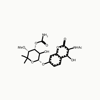 CO[C@@H]1[C@H](OC(N)=O)C(O)[C@H](Oc2ccc3c(O)c(NC(C)=O)c(=O)oc3c2)OC1(C)C